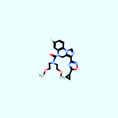 COCCN(CCOC)C(=O)N1Cc2c(-c3noc(C4CC4)n3)ncn2-c2ccc(F)cc21